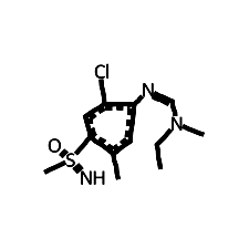 CCN(C)/C=N\c1cc(C)c(S(C)(=N)=O)cc1Cl